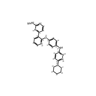 CNc1nccc(-c2cccnc2Oc2ccc(Nc3ccc(N4CCCCC4)nn3)cc2)n1